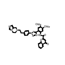 COc1cc(NC(=O)c2cc(=O)c3ccccc3o2)c(-c2nnn(-c3ccc(CCN4CCn5cncc5C4)cc3)n2)cc1OC